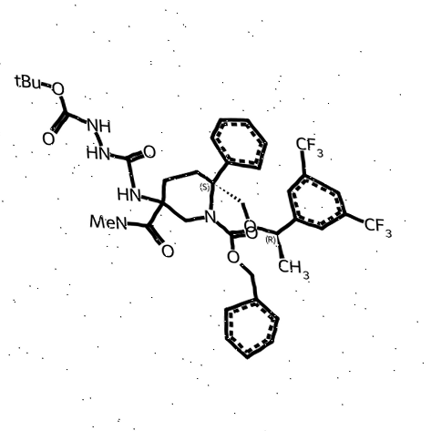 CNC(=O)C1(NC(=O)NNC(=O)OC(C)(C)C)CC[C@@](CO[C@H](C)c2cc(C(F)(F)F)cc(C(F)(F)F)c2)(c2ccccc2)N(C(=O)OCc2ccccc2)C1